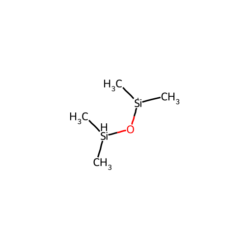 C[Si](C)O[SiH](C)C